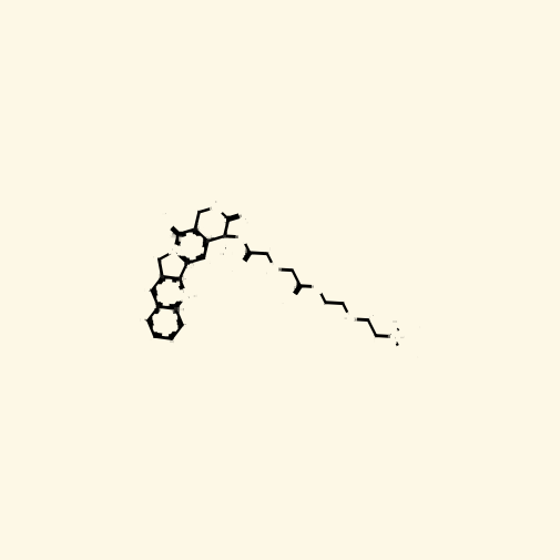 CC[C@@]1(OC(=O)COCC(=O)OCCOCCN(C)C)C(=O)OCc2c1cc1n(c2=O)Cc2cc3ccccc3nc2-1